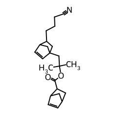 CC(C)(CC12C=CC(C1)C(CCCC#N)C2)OC(=O)C1CC2C=CC1C2